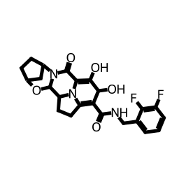 O=C(NCc1cccc(F)c1F)C1=C2CCC3C4OC5CCC(C5)N4C(=O)C(=C(O)C1O)N23